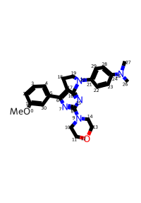 COc1cccc(-c2nc(N3CCOCC3)nc3c2CCN3c2ccc(N(C)C)cc2)c1